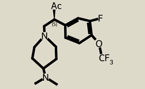 CC(=O)[C@H](CN1CCC(N(C)C)CC1)c1ccc(OC(F)(F)F)c(F)c1